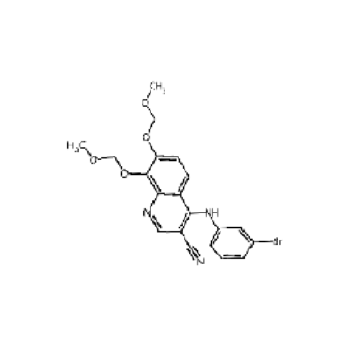 COCOc1ccc2c(Nc3cccc(Br)c3)c(C#N)cnc2c1OCOC